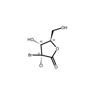 O=C1O[C@H](CO)[C@@H](O)[C@]1(Cl)Br